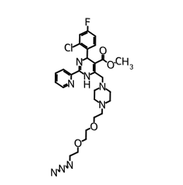 COC(=O)C1=C(CN2CCN(CCOCCOCCN=[N+]=[N-])CC2)NC(c2ccccn2)=NC1c1ccc(F)cc1Cl